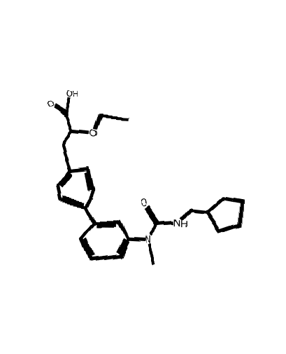 CCOC(Cc1ccc(-c2cccc(N(C)C(=O)NCC3CCCC3)c2)cc1)C(=O)O